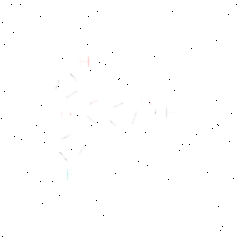 COc1ccc(C=C2C(=O)c3cc(O)ccc3OC2c2ccc(F)cc2)cc1